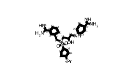 CC(C)c1ccc(S(=O)(=O)N(Cc2cccc(C(=N)N)c2)CC(O)CNc2ccc(C(=N)N)cc2)cc1